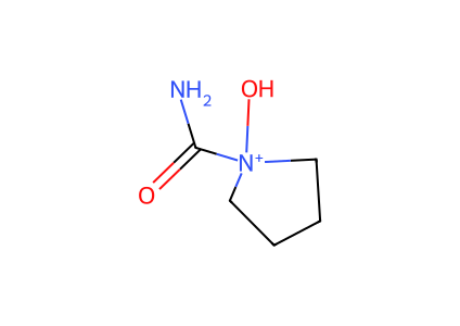 NC(=O)[N+]1(O)CCCC1